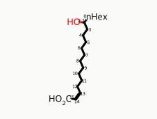 CCCCCCC(O)CCCCCCCCCC/C=C\C(=O)O